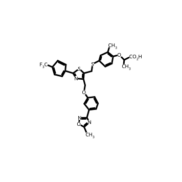 Cc1nc(-c2cccc(OCc3nc(-c4ccc(C(F)(F)F)cc4)sc3CSc3ccc(OC(C)C(=O)O)c(C)c3)c2)no1